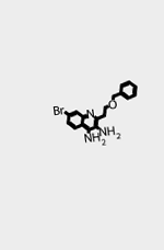 Nc1c(CCOCc2ccccc2)nc2cc(Br)ccc2c1N